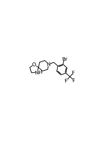 FC(F)(F)c1ccc(CN2CCC3(CC2)NCCO3)c(Br)c1